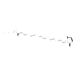 CCCCCNC(=O)CCOCCOCCOCCOCCN1C(=O)C=CC1=O